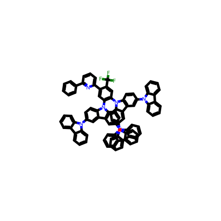 FC(F)(F)c1cc(-n2c3ccc(-n4c5ccccc5c5ccccc54)cc3c3cc(-n4c5ccccc5c5ccccc54)ccc32)c(-n2c3ccc(-n4c5ccccc5c5ccccc54)cc3c3cc(-n4c5ccccc5c5ccccc54)ccc32)cc1-c1cccc(-c2ccccc2)n1